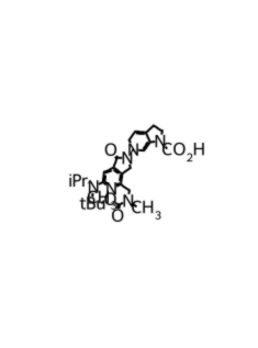 CC(C)N(C)c1cc2c(c(CN(C)C(=O)OC(C)(C)C)n1)CN(N1C=C3C(=CC1)CCN3C(=O)O)C2=O